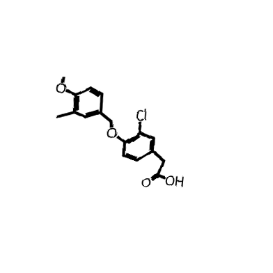 COc1ccc(COc2ccc(CC(=O)O)cc2Cl)cc1C